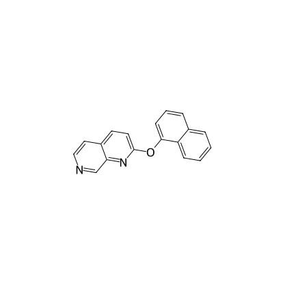 c1ccc2c(Oc3ccc4ccncc4n3)cccc2c1